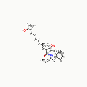 CCCCCCCC(=O)CCCCCC/C=C/C(C(=O)NC(Cc1ccccc1)C(=O)O)C(O)(CC(=O)O)C(=O)O